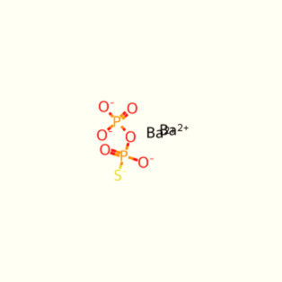 O=P([O-])([O-])OP(=O)([O-])[S-].[Ba+2].[Ba+2]